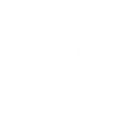 CN(C)C=CC(=O)c1cccc(C(=O)O)c1